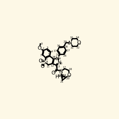 COc1ccc2c(c1)S(=O)(=O)Cc1c(C(=O)N3CCO[C@@H]4C[C@@H]43)nn(-c3ccc(CN4CCOCC4)cc3)c1-2